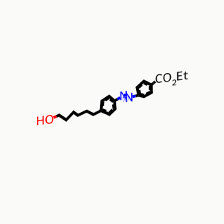 CCOC(=O)c1ccc(/N=N/c2ccc(CCCCCCO)cc2)cc1